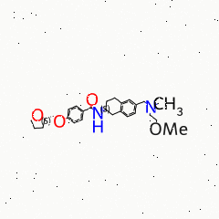 COCCN(C)Cc1ccc2c(c1)CC[C@H](NC(=O)c1ccc(OC[C@@H]3CCCO3)cc1)C2